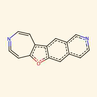 C1=Cc2oc3cc4ccncc4cc3c2C=CN=1